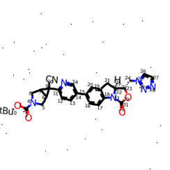 CC(C)(C)OC(=O)N1CC2C(C1)C2(C#N)c1ccc(-c2ccc3c(c2)C[C@H]2[C@H](Cn4ccnn4)OC(=O)N32)cn1